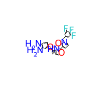 C=C[C@H](COc1ccc(N)c(N)c1)NC(=O)c1cccn(Cc2cc(F)c(F)c(F)c2)c1=O